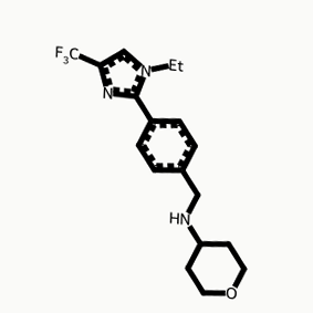 CCn1cc(C(F)(F)F)nc1-c1ccc(CNC2CCOCC2)cc1